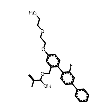 C=C(C)C(O)OCc1cc(OCCOCCO)ccc1-c1ccc(-c2ccccc2)cc1F